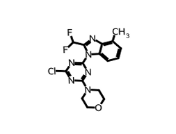 Cc1cccc2c1nc(C(F)F)n2-c1nc(Cl)nc(N2CCOCC2)n1